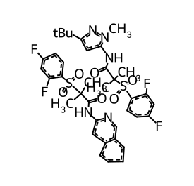 CC(C)(C(=O)Nc1cc2ccccc2cn1)S(=O)(=O)c1ccc(F)cc1F.Cn1nc(C(C)(C)C)cc1NC(=O)C(C)(C)S(=O)(=O)c1ccc(F)cc1F